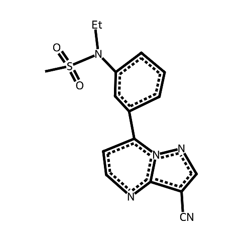 CCN(c1cccc(-c2ccnc3c(C#N)cnn23)c1)S(C)(=O)=O